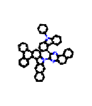 c1ccc(-n2c3ccccc3c3c(-c4nc5c(ccc6ccccc65)nc4-n4c5cc6ccccc6cc5c5c6c7ccccc7c7ccccc7c6ccc54)cccc32)cc1